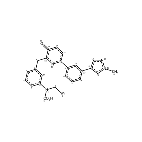 CC(C)CN(C(=O)O)c1cccc(Cc2nn(-c3cccc(-c4cnn(C)c4)c3)ccc2=O)c1